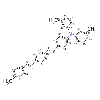 Cc1ccc(/C=C/c2ccc(/C=C/c3ccc(N(c4cccc(C)c4)c4cccc(C)c4)cc3)cc2)cc1